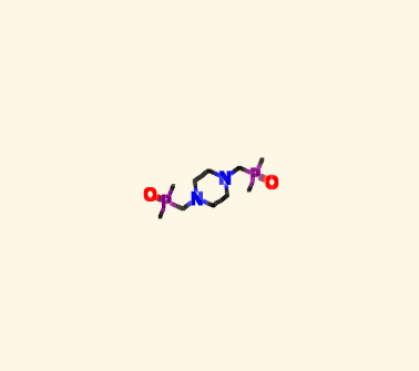 CP(C)(=O)CN1CCN(CP(C)(C)=O)CC1